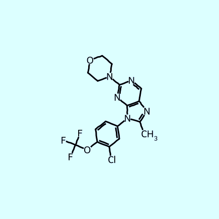 Cc1nc2cnc(N3CCOCC3)nc2n1-c1ccc(OC(F)(F)F)c(Cl)c1